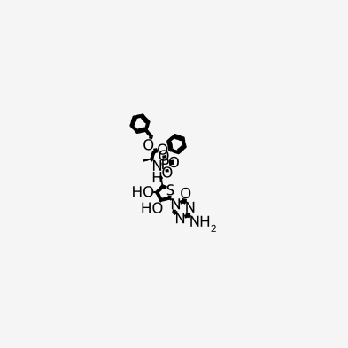 C[C@H](NP(=O)(OC[C@H]1S[C@@H](n2cnc(N)nc2=O)[C@@H](O)[C@H]1O)Oc1ccccc1)C(=O)OCc1ccccc1